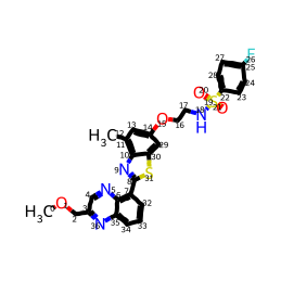 COCc1cnc2c(-c3nc4c(C)cc(OCCNS(=O)(=O)c5ccc(F)cc5)cc4s3)cccc2n1